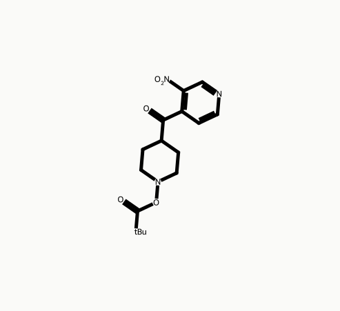 CC(C)(C)C(=O)ON1CCC(C(=O)c2ccncc2[N+](=O)[O-])CC1